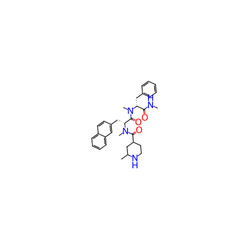 CNC(=O)[C@@H](Cc1ccccc1)N(C)C(=O)[C@@H](Cc1ccc2ccccc2c1)N(C)C(=O)C1CCNC(C)C1